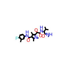 CNC(=O)[C@@H](NC(=O)C(=O)c1c(C)c(C(=O)Nc2ccc(F)c(C)c2)c(C)n1C)C(C)C